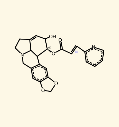 O=C(/C=C/c1ccccn1)O[C@@H]1C(O)C=C2CCN3Cc4cc5c(cc4C1C23)OCO5